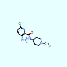 CN1CCC(NC(=O)c2nc(Cl)ccc2N)CC1